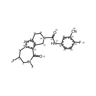 CN1CC(F)Cn2nc3c(c2C1=O)CN(C(=O)Nc1ccc(F)c(C#N)c1)CC3